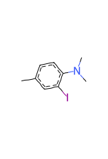 Cc1ccc(N(C)C)c(I)c1